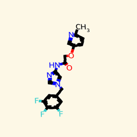 Cc1ccc(OCC(=O)Nc2cn(Cc3cc(F)c(F)c(F)c3)cn2)cn1